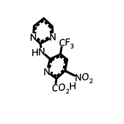 O=C(O)c1nc(Nc2ncccn2)c(C(F)(F)F)cc1[N+](=O)[O-]